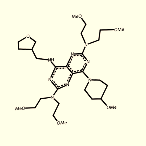 COCCN(CCOC)c1nc(N2CCC(OC)CC2)c2nc(N(CCOC)CCOC)nc(NCC3CCOC3)c2n1